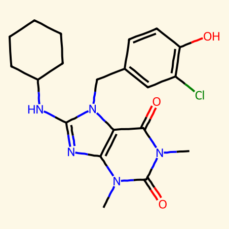 Cn1c(=O)c2c(nc(NC3CCCCC3)n2Cc2ccc(O)c(Cl)c2)n(C)c1=O